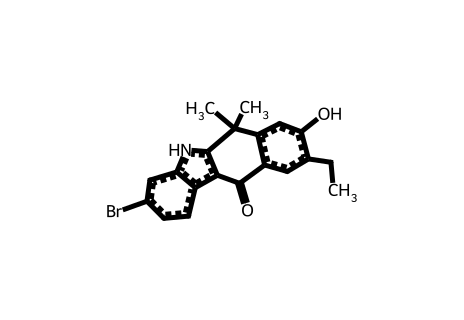 CCc1cc2c(cc1O)C(C)(C)c1[nH]c3cc(Br)ccc3c1C2=O